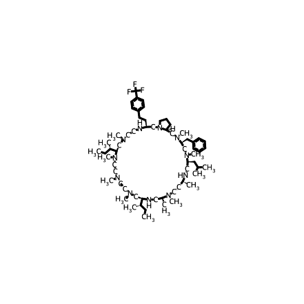 CC[C@H](C)[C@H]1CN(C)CCN[C@@H](CCc2ccc(C(F)(F)F)cc2)CN2CCC[C@H]2CN(C)[C@@H](Cc2ccccc2)CN(C)[C@@H](CC(C)C)CN[C@H](C)CCN(C)[C@@H](C)CN[C@@H]([C@@H](C)CC)CN(C)CCN(C)CCN1C